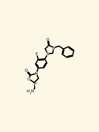 NC[C@@H]1CN(c2ccc(N3CC(=O)N(Cc4ccccc4)C3)c(F)c2)C(=O)O1